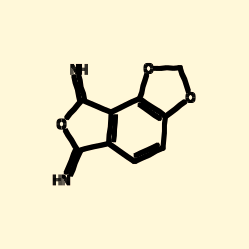 N=C1OC(=N)c2c1ccc1c2OCO1